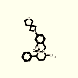 CC1CCC(c2ccccc2)S(=O)(=O)N1Cc1ccc(N2CC3(CCOC3)C2)cc1F